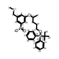 CSCc1cc(OC(C)CCCO[Si](c2ccccc2)(c2ccccc2)C(C)(C)C)cc([N+](=O)[O-])c1